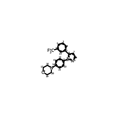 FC(F)(F)c1cccc(-c2ccnn2-c2ccc(N3CCOCC3)cc2)c1